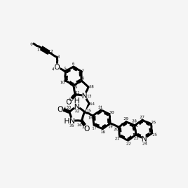 CC#CCOc1ccc2c(c1)C(=O)N(C[C@]1(c3ccc(-c4ccc5ncccc5c4)cc3)NC(=O)NC1=O)C2